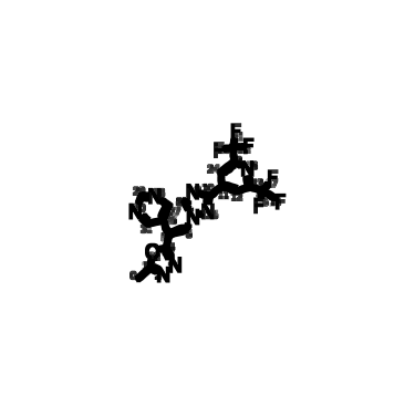 Cc1nnc(/C(=C/n2cnc(-c3cc(C(F)(F)F)nc(C(F)(F)F)c3)n2)c2cncnc2)o1